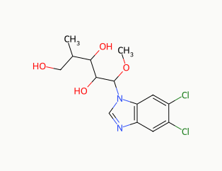 COC(C(O)C(O)C(C)CO)n1cnc2cc(Cl)c(Cl)cc21